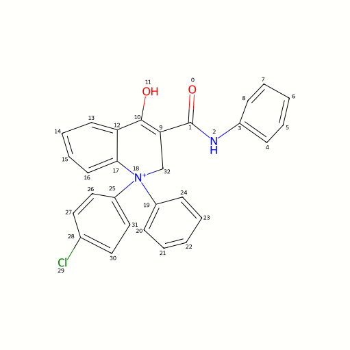 O=C(Nc1ccccc1)C1=C(O)c2ccccc2[N+](c2ccccc2)(c2ccc(Cl)cc2)C1